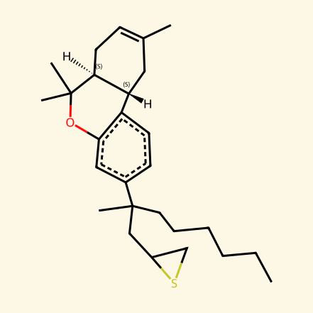 CCCCCCC(C)(CC1CS1)c1ccc2c(c1)OC(C)(C)[C@H]1CC=C(C)C[C@H]21